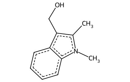 Cc1c(CO)c2ccccc2n1C